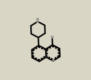 [O]c1ccnc2cccc(C3CCNCC3)c12